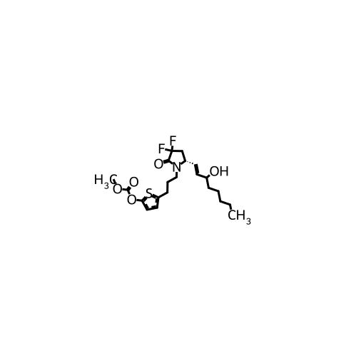 CCCCCC(O)/C=C/[C@H]1CC(F)(F)C(=O)N1CCCc1ccc(OC(=O)OC)s1